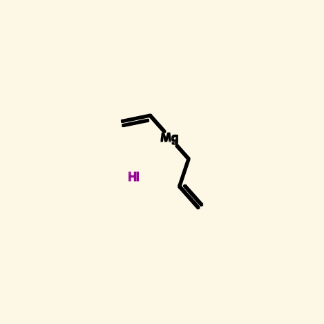 C=C[CH2][Mg][CH]=C.I